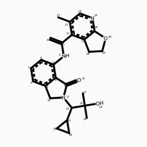 C=C(Nc1cccc2c1C(=O)N(C(C1CC1)C(C)(C)O)C2)c1c(C)cnc2c1CCO2